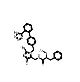 CCCCc1nc(Cl)c(CNC(=O)C(Cc2ccccc2)SC(C)=O)n1Cc1ccc(-c2ccccc2-c2nnn[nH]2)cc1